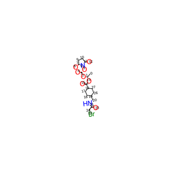 CC(OC(=O)ON1C(=O)CCC1=O)OC(=O)C1CCC(CNC(=O)CBr)CC1